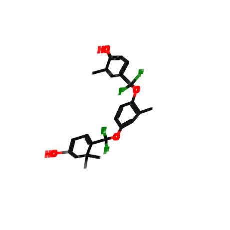 Cc1cc(OC(F)(F)C2=CC=C(O)CC2(C)C)ccc1OC(F)(F)C1=CC=C(O)C(C)C1